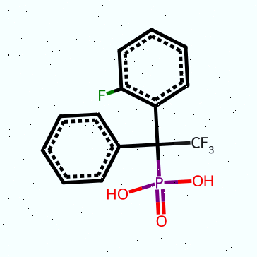 O=P(O)(O)C(c1ccccc1)(c1ccccc1F)C(F)(F)F